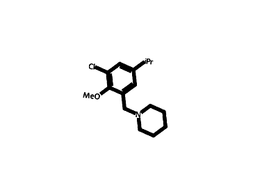 COc1c(Cl)cc(C(C)C)cc1CN1CCCCC1